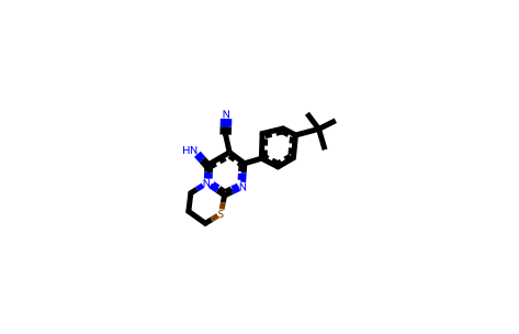 CC(C)(C)c1ccc(-c2nc3n(c(=N)c2C#N)CCCS3)cc1